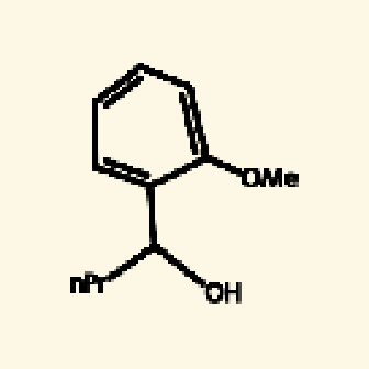 CCCC(O)c1ccccc1OC